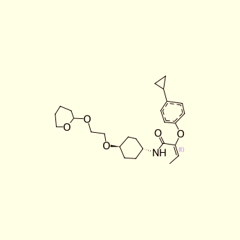 C/C=C(/Oc1ccc(C2CC2)cc1)C(=O)N[C@H]1CC[C@H](OCCOC2CCCCO2)CC1